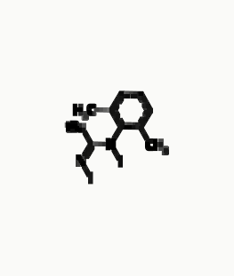 Cc1cccc(C)c1N(I)/C(=N\I)C(C)(C)C